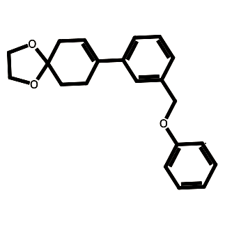 [c]1ccccc1OCc1cccc(C2=CCC3(CC2)OCCO3)c1